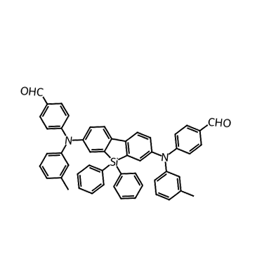 Cc1cccc(N(c2ccc(C=O)cc2)c2ccc3c(c2)[Si](c2ccccc2)(c2ccccc2)c2cc(N(c4ccc(C=O)cc4)c4cccc(C)c4)ccc2-3)c1